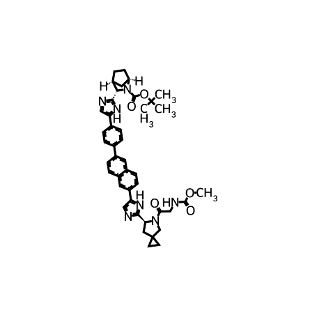 COC(=O)NCC(=O)N1CC2(CC2)C[C@H]1c1ncc(-c2ccc3cc(-c4ccc(-c5cnc([C@@H]6[C@H]7CC[C@H](C7)N6C(=O)OC(C)(C)C)[nH]5)cc4)ccc3c2)[nH]1